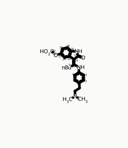 CCCC/C(Nc1ccc(CCN(C)C)cc1)=C1/C(=O)Nc2ccc(OC(=O)O)cc21